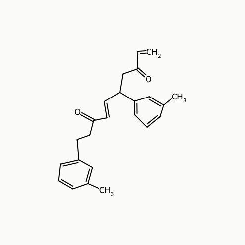 C=CC(=O)CC(C=CC(=O)CCc1cccc(C)c1)c1cccc(C)c1